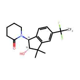 CC1(C)c2cc(C(F)(F)C(F)(F)F)ccc2[C@H](N2CCCCC2=O)[C@H]1O